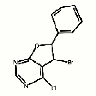 Clc1ncnc2c1C(Br)C(c1ccccc1)O2